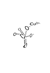 [Cu+2].[O]=[Cr](=[O])(=[O])([O-])[O-]